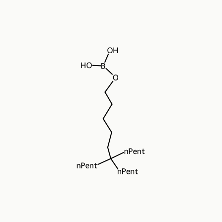 CCCCCC(CCCCC)(CCCCC)CCCCCOB(O)O